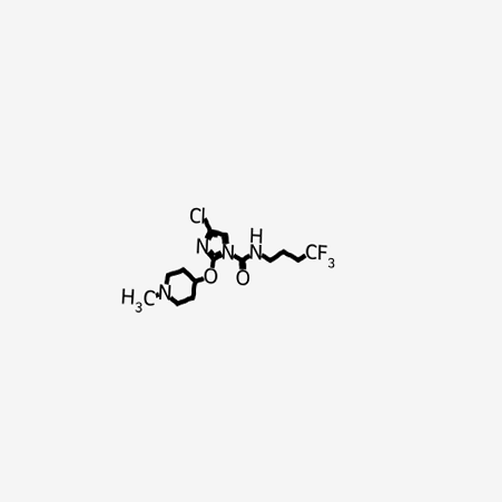 CN1CCC(Oc2nc(Cl)cn2C(=O)NCCCC(F)(F)F)CC1